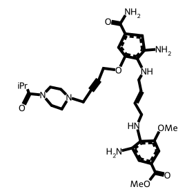 COC(=O)c1cc(N)c(NC/C=C/CNc2c(N)cc(C(N)=O)cc2OCC#CCN2CCN(C(=O)C(C)C)CC2)c(OC)c1